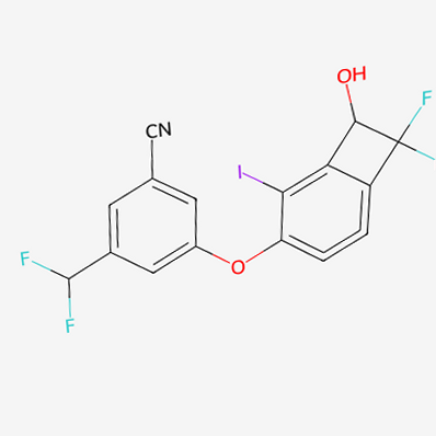 N#Cc1cc(OC2=C=C=C3C(=C2I)C(O)C3(F)F)cc(C(F)F)c1